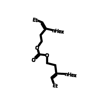 CCC=C(CCCCCC)CCOC(=O)OCCC(=CCC)CCCCCC